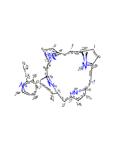 C1=Cc2cc3ccc(cc4nc(cc5ccc(cc1n2)[nH]5)C=C4)[nH]3.[Co][c]1ccccn1